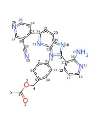 CC(=O)OCc1ccc(-n2c(-c3cccnc3N)nc3ccc(-c4ccncc4C#N)nc32)cc1